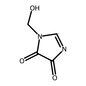 O=C1N=[C]N(CO)C1=O